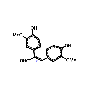 COc1cc(/C=C(/C=O)c2ccc(O)c(OC)c2)ccc1O